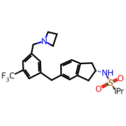 CC(C)S(=O)(=O)N[C@H]1Cc2ccc(Cc3cc(CN4CCC4)cc(C(F)(F)F)c3)cc2C1